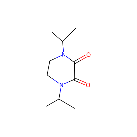 CC(C)N1CCN(C(C)C)C(=O)C1=O